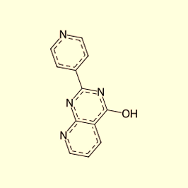 Oc1nc(-c2ccncc2)nc2ncccc12